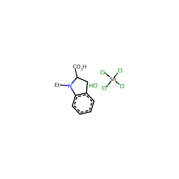 CCN1c2ccccc2CC1C(=O)O.Cl.[Cl][Sn]([Cl])([Cl])[Cl]